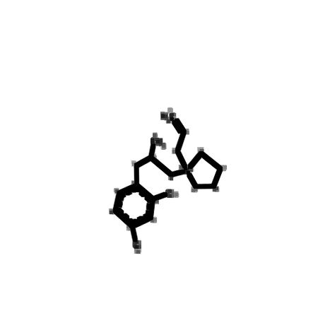 C=CC[N+]1(CC(C)Cc2ccc(Cl)cc2Cl)CCCC1